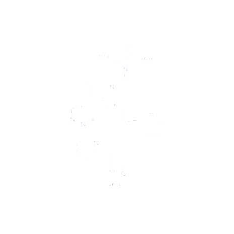 C=c1cnn(-c2cccc(CO[Si](C)(C)C(C)(C)C)n2)/c1=C/C(=C\CC1CCOCC1)c1cccc([C@H](CCC)N[S@+]([O-])C(C)(C)C)n1